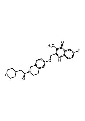 Cc1c(COc2ccc3c(c2)CCN(C(=O)CC2CCOCC2)C3)[nH]c2ccc(F)cc2c1=O